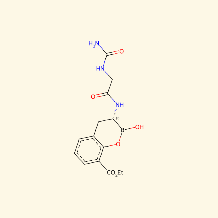 CCOC(=O)c1cccc2c1OB(O)[C@@H](NC(=O)CNC(N)=O)C2